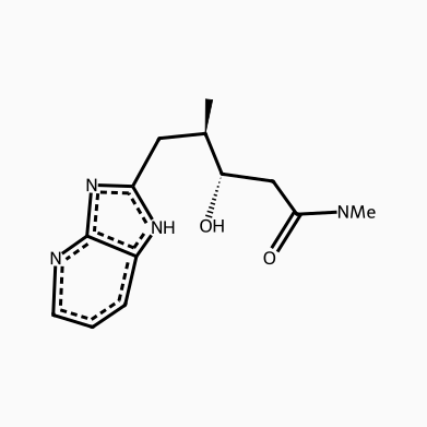 CNC(=O)C[C@H](O)[C@H](C)Cc1nc2ncccc2[nH]1